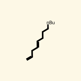 [CH2]CCCCCCC=CCC=C